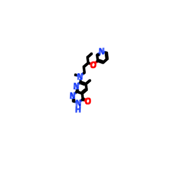 CCC(CCN(C)c1nc2nc[nH]c(=O)c2cc1C)Oc1cccnc1